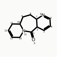 O=C1C2C=CC=NC2CCC2CC=CCN12